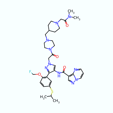 CC(C)Sc1ccc(OCF)c(-c2nn(CC(=O)N3CCN(CC4CCN(CC(=O)N(C)C)CC4)CC3)cc2NC(=O)c2cnn3cccnc23)c1